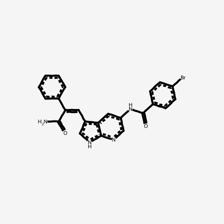 NC(=O)C(=Cc1c[nH]c2ncc(NC(=O)c3ccc(Br)cc3)cc12)c1ccccc1